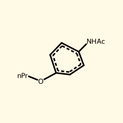 CCCOc1ccc(NC(C)=O)cc1